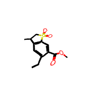 CCc1cc2c(cc1C(=O)OC)S(=O)(=O)CC2C